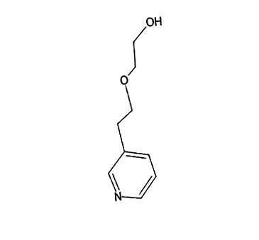 OCCOCCc1cccnc1